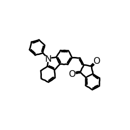 O=C1C(=Cc2ccc3c(c2)c2c(n3-c3ccccc3)CCC=C2)C(=O)c2ccccc21